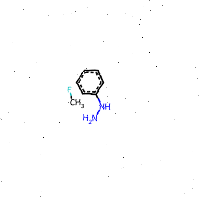 CF.NNc1ccccc1